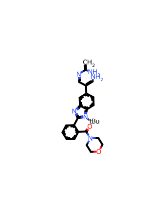 C=C(N)/N=C\C(=C/N)c1ccc2c(c1)nc(-c1ccccc1C(=O)N1CCOCC1)n2C(C)(C)C